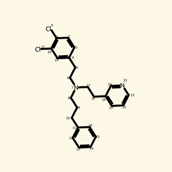 Clc1ccc(CCN(CCCc2ccccc2)CCc2cccnc2)cc1Cl